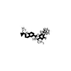 C[C@@H](NC(=O)c1ccc2nc(C3(C)CC3)ccc2c1)c1cc(F)c(NS(C)(=O)=O)c(F)c1